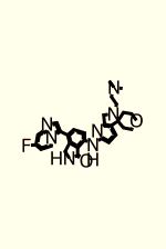 CN(C)CCN1Cc2nc(Nc3ccc(-c4cnc5cc(F)ccn45)c4c3C(=O)NC4)ccc2C12CCOCC2